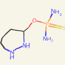 NP(N)(=S)OC1CCNN1